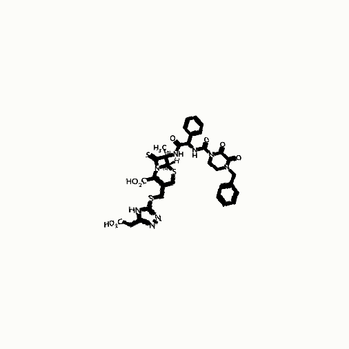 C[C@@]1(NC(=O)C(NC(=O)N2CCN(Cc3ccccc3)C(=O)C2=O)c2ccccc2)C(=S)N2C(C(=O)O)=C(CSc3nnc(CC(=O)O)[nH]3)CS[C@H]21